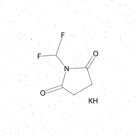 O=C1CCC(=O)N1C(F)F.[KH]